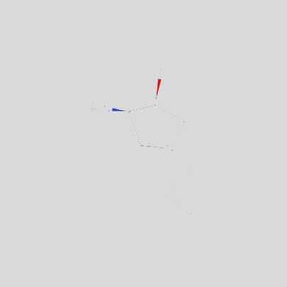 N[C@@H]1CN(BC=O)C[C@@H]1O